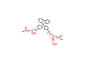 C=CC(=O)OCC(O)COc1ccc(C2(c3ccc(C(C)(C)OCC(COC(=O)C=C)OOCO)cc3)c3ccccc3-c3ccccc32)cc1